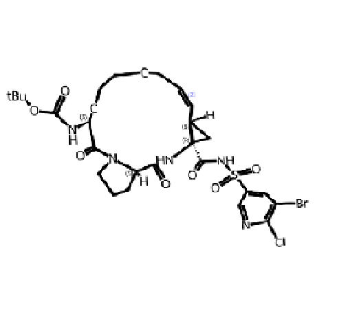 CC(C)(C)OC(=O)N[C@H]1CCCCC/C=C\[C@@H]2C[C@@]2(C(=O)NS(=O)(=O)c2cnc(Cl)c(Br)c2)NC(=O)[C@@H]2CCCN2C1=O